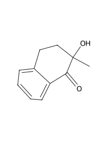 CC1(O)CCc2ccccc2C1=O